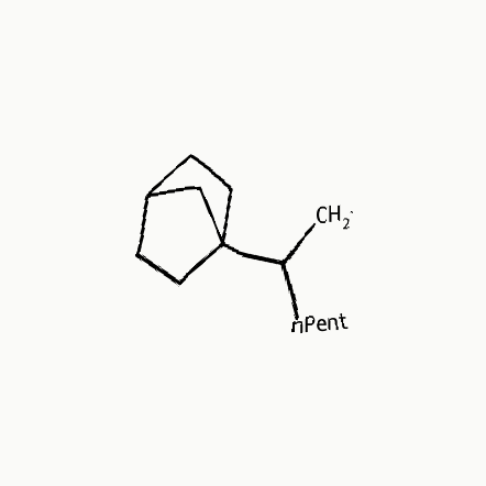 [CH2]C(CCCCC)C12CCC(CC1)C2